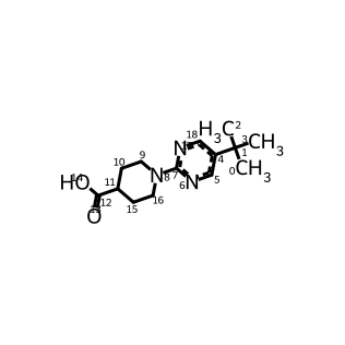 CC(C)(C)c1cnc(N2CCC(C(=O)O)CC2)nc1